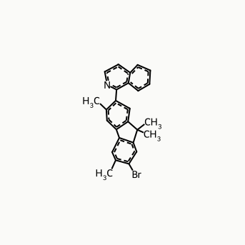 Cc1cc2c(cc1Br)C(C)(C)c1cc(-c3nccc4ccccc34)c(C)cc1-2